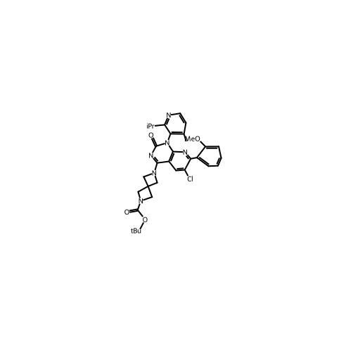 COc1ccccc1-c1nc2c(cc1Cl)c(N1CC3(CN(C(=O)OC(C)(C)C)C3)C1)nc(=O)n2-c1c(C)ccnc1C(C)C